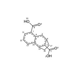 O=C(O)c1c2cc3c(C(=O)O)cccc3c1CC2